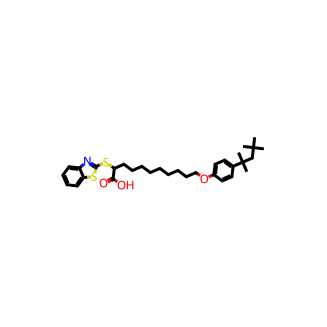 CC(C)(C)CC(C)(C)c1ccc(OCCCCCCCCCC(Sc2nc3ccccc3s2)C(=O)O)cc1